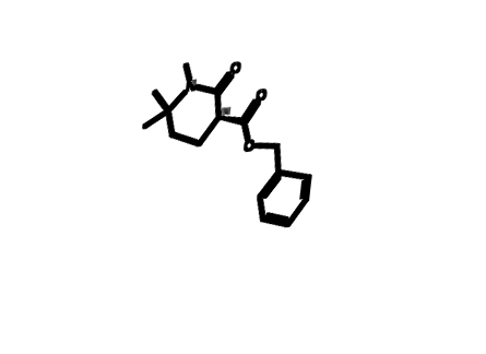 CN1C(=O)[C@@H](C(=O)OCc2ccccc2)CCC1(C)C